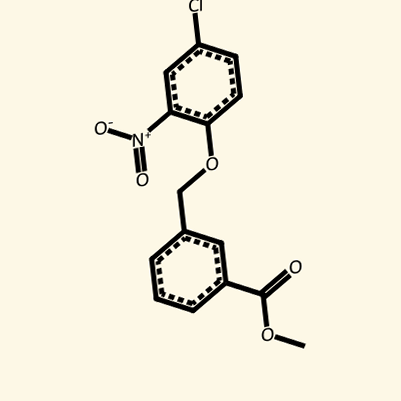 COC(=O)c1cccc(COc2ccc(Cl)cc2[N+](=O)[O-])c1